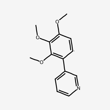 COc1c[c]c(-c2cccnc2)c(OC)c1OC